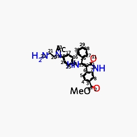 COC(=O)c1ccc2c(c1)NC(=O)/C2=C(/Nc1ccc(N(CCN)C(C)=O)cc1)c1ccccc1